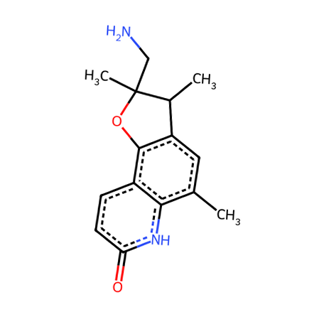 Cc1cc2c(c3ccc(=O)[nH]c13)OC(C)(CN)C2C